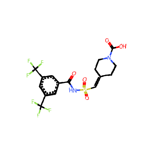 O=C(NS(=O)(=O)C=C1CCN(C(=O)O)CC1)c1cc(C(F)(F)F)cc(C(F)(F)F)c1